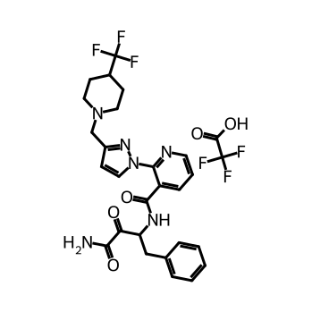 NC(=O)C(=O)C(Cc1ccccc1)NC(=O)c1cccnc1-n1ccc(CN2CCC(C(F)(F)F)CC2)n1.O=C(O)C(F)(F)F